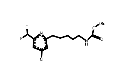 CC(C)(C)OC(=O)NCCCCCc1cc(Cl)cc(C(F)F)n1